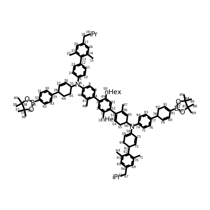 CCCCCCc1cc(-c2ccc(N(c3ccc(-c4c(C)cc(CC(C)C)cc4C)cc3)C3C=CC(c4ccc(B5OC(C)(C)C(C)(C)O5)cc4)CC3)cc2C)c(CCCCCC)cc1C1=CCC(N(C2=CCC(c3c(C)cc(CC(C)C)cc3C)C=C2)c2ccc(C3C=CC(B4OC(C)(C)C(C)(C)O4)=CC3)cc2)C=C1C